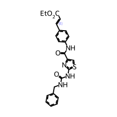 CCOC(=O)/C=C/c1ccc(NC(=O)c2csc(NC(=O)NCc3ccccc3)n2)cc1